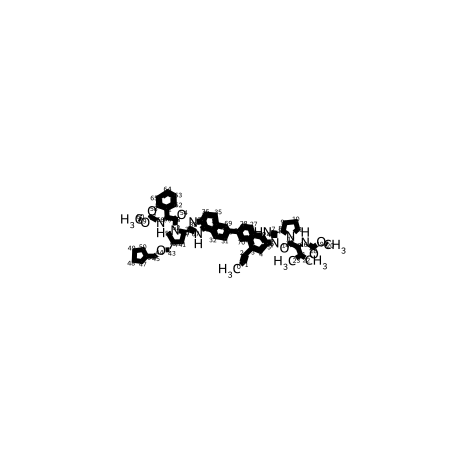 CC#Cc1cc2nc([C@@H]3CCCN3C(=O)[C@@H](NC(=O)OC)C(C)C)[nH]c2c2ccc(-c3ccc4c(ccc5nc([C@@H]6C[C@H](COCC7CCCC7)CN6C(=O)[C@H](NC(=O)OC)c6ccccc6)[nH]c54)c3)cc12